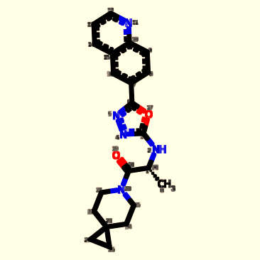 C[C@@H](Nc1nnc(-c2ccc3ncccc3c2)o1)C(=O)N1CCC2(CC1)CC2